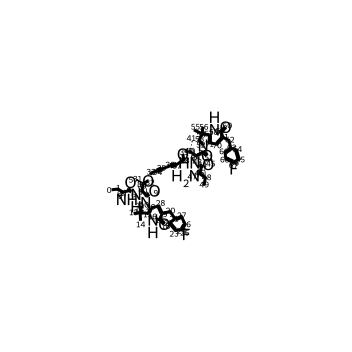 CC[C@H](N)C(=O)N[C@H](C(=O)N1CC(C)(C)c2[nH]c(=O)c(Cc3ccc(F)cc3)cc21)[C@@H](C)OCC#CC#CCO[C@H](C)[C@H](NC(=O)[C@@H](N)CC)C(=O)N1CC(C)(C)c2[nH]c(=O)c(Cc3ccc(F)cc3)cc21